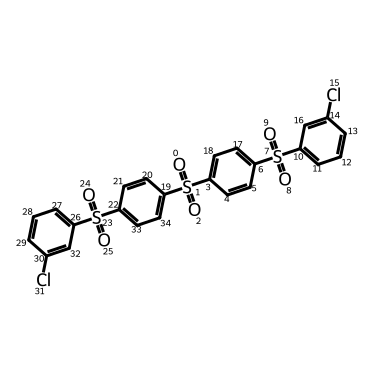 O=S(=O)(c1ccc(S(=O)(=O)c2cccc(Cl)c2)cc1)c1ccc(S(=O)(=O)c2cccc(Cl)c2)cc1